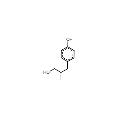 C[C@H](CO)Cc1ccc(O)cc1